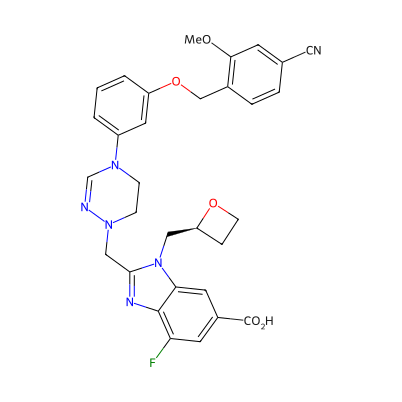 COc1cc(C#N)ccc1COc1cccc(N2C=NN(Cc3nc4c(F)cc(C(=O)O)cc4n3C[C@@H]3CCO3)CC2)c1